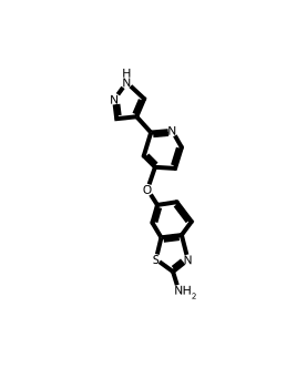 Nc1nc2ccc(Oc3ccnc(-c4cn[nH]c4)c3)cc2s1